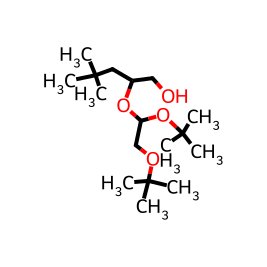 CC(C)(C)CC(CO)OC(COC(C)(C)C)OC(C)(C)C